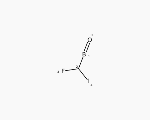 O=BC(F)I